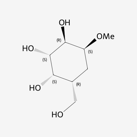 CO[C@H]1C[C@H](CO)[C@H](O)[C@H](O)[C@H]1O